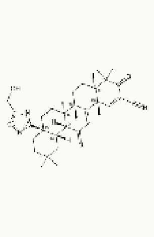 CC1(C)CC[C@]2(c3noc(CO)n3)CC[C@]3(C)[C@H](C(=O)C=C4[C@@]5(C)C=C(C#N)C(=O)C(C)(C)[C@@H]5CC[C@]43C)[C@@H]2C1